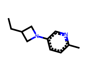 CCC1CN(c2ccc(C)nc2)C1